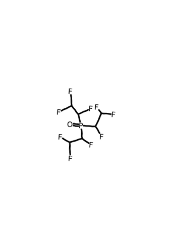 O=P(C(F)C(F)F)(C(F)C(F)F)C(F)C(F)F